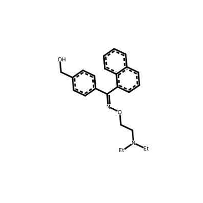 CCN(CC)CCO/N=C(/c1ccc(CO)cc1)c1cccc2ccccc12